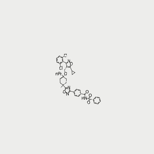 CCCC1(OCc2c(-c3c(Cl)cccc3Cl)noc2C2CC2)CCC(C)(c2nc(-c3ccc(C(=O)NS(=O)(=O)c4ccccc4)cc3)no2)CC1